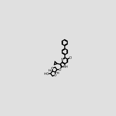 OC1CO[C@@H]2C(Oc3[nH]c4cc(Cl)c(-c5ccc(-c6ccccc6)cc5)nc4c3C3CC3)CO[C@H]12